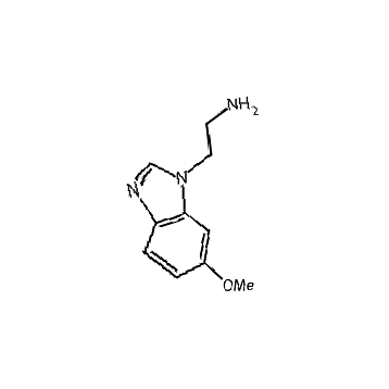 COc1ccc2ncn(CCN)c2c1